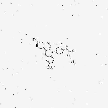 CC(C)c1cc2nccc(Nc3cc(C(=O)O)ccc3Sc3ccc(NC(=O)OCC(Cl)(Cl)Cl)c(F)c3)c2cn1